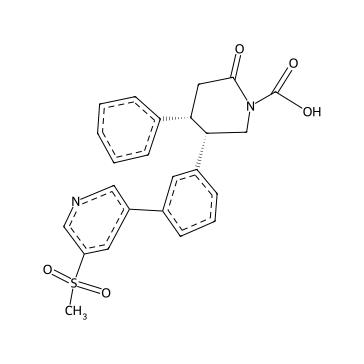 CS(=O)(=O)c1cncc(-c2cccc([C@H]3CN(C(=O)O)C(=O)C[C@H]3c3ccccc3)c2)c1